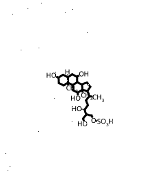 CC(CC[C@@H](O)C(CO)COS(=O)(=O)O)C1CCC2C3C(O)C[C@@H]4CC(O)CCC4(C)C3CC(O)C12C